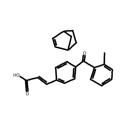 C1=CC2CCC1C2.Cc1ccccc1C(=O)c1ccc(C=CC(=O)O)cc1